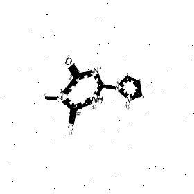 Cn1c(=O)nc(-n2cccn2)[nH]c1=O